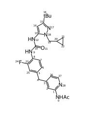 CC(=O)Nc1cc(Cc2ccc(NC(=O)Nc3cc(C(C)(C)C)nn3CC3CC3)c(F)c2)ccn1